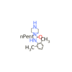 CCCCC[N+]1(C(=O)Nc2c(C)cccc2C)CCNCC1